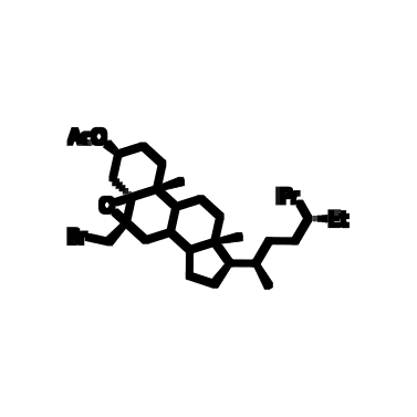 CC[C@H](CC[C@@H](C)[C@H]1CCC2C3C[C@]4(CBr)O[C@]45C[C@@H](OC(C)=O)CC[C@]5(C)C3CC[C@@]21C)C(C)C